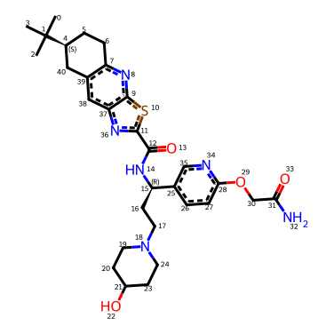 CC(C)(C)[C@H]1CCc2nc3sc(C(=O)N[C@H](CCN4CCC(O)CC4)c4ccc(OCC(N)=O)nc4)nc3cc2C1